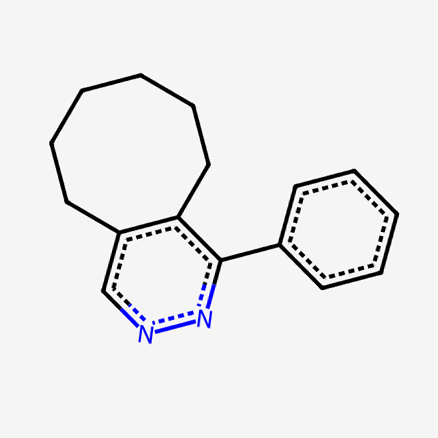 c1ccc(-c2nncc3c2CCCCCC3)cc1